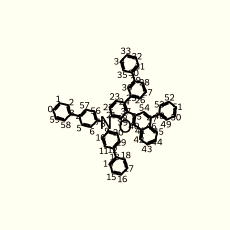 c1ccc(-c2ccc(N(c3ccc(-c4ccccc4)cc3)c3ccc(-c4cccc(-c5ccccc5)c4)c4c3oc3c5ccccc5c(-c5ccccc5)cc34)cc2)cc1